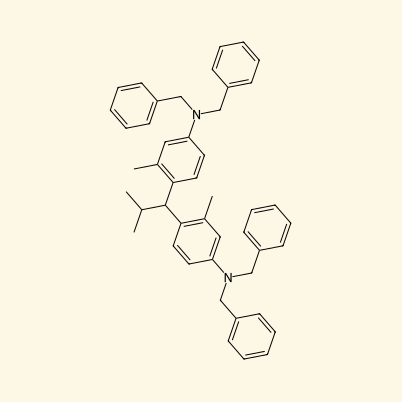 Cc1cc(N(Cc2ccccc2)Cc2ccccc2)ccc1C(c1ccc(N(Cc2ccccc2)Cc2ccccc2)cc1C)C(C)C